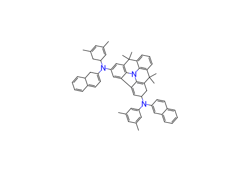 CC1=CC(N(C2=CC=C3C=CC=CC3C2)c2cc3c4c(c2)c2c5n4-c4c(cccc4C3(C)C)C(C)(C)C=5CC(N(c3cc(C)cc(C)c3)c3ccc4ccccc4c3)C=2)CC(C)=C1